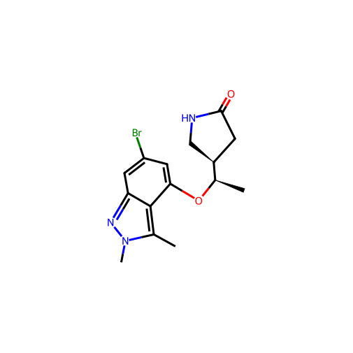 Cc1c2c(O[C@H](C)[C@H]3CNC(=O)C3)cc(Br)cc2nn1C